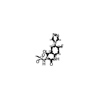 CS(=O)(=O)Nn1c(=O)[nH]c2cc(F)c(-n3cnnc3)cc2c1=O